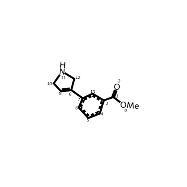 COC(=O)c1cccc(C2=CCNC2)c1